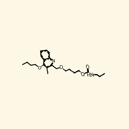 CCCCOc1c(C)c(COCCCCOC(=O)NCCC)nc2ccccc12